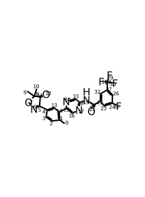 Cc1ccc(C2=NOC(C)(C)C2=O)cc1-c1cnc(NC(=O)c2cc(F)cc(C(F)(F)F)c2)cn1